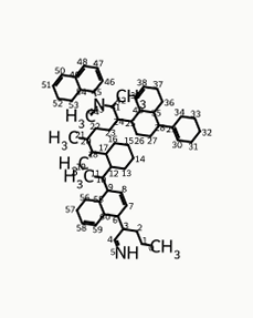 CCCC(C=N)C1C=CC(C(C)C2CCCCC2C(C)C(C)CCC(C2CCC(C3=CCCCC3)C3CCC=CC32)C(C)N(C)[C@H]2C=CC=C3C=CCCC32)C2CCC=CC12